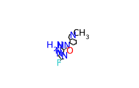 Cn1ccc2c(NC(=O)c3c(N)nn4cc(F)cnc34)cccc21